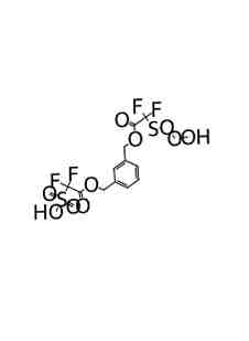 O=C(OCc1cccc(COC(=O)C(F)(F)S(=O)(=O)O)c1)C(F)(F)SOOO